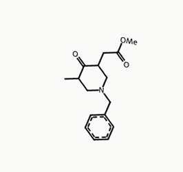 COC(=O)CC1CN(Cc2ccccc2)CC(C)C1=O